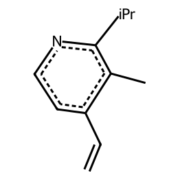 C=Cc1ccnc(C(C)C)c1C